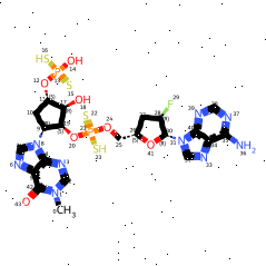 Cn1cnc2c(ncn2[C@@H]2C[C@H](OP(O)(=S)S)[C@@H](O)[C@H]2OP(=S)(S)OC[C@@H]2C[C@@H](F)[C@H](n3cnc4c(N)ncnc43)O2)c1=O